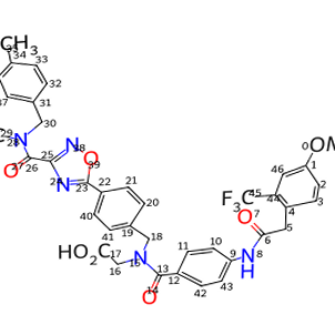 COc1ccc(CC(=O)Nc2ccc(C(=O)N(CC(=O)O)Cc3ccc(-c4nc(C(=O)N(C)Cc5ccc(C)cc5)no4)cc3)cc2)c(C(F)(F)F)c1